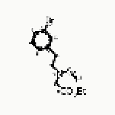 CCOC(=O)CN(CCc1cccc(Br)c1)SI